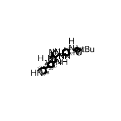 CC(C)(C)c1cc(Nc2ccc(Nc3ncnc(N)c3C(=N)c3ccc(C4CCNCC4)cc3)cc2)no1